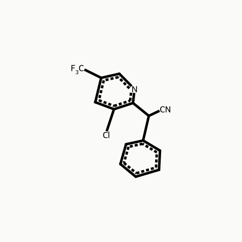 N#CC(c1ccccc1)c1ncc(C(F)(F)F)cc1Cl